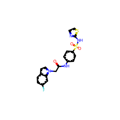 O=C(Cn1ccc2ccc(F)cc21)Nc1ccc(S(=O)(=O)Nc2nccs2)cc1